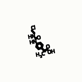 C[C@@H](C(=O)O)c1ccc(NC(=O)NCCCl)cc1